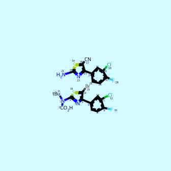 CC(C)(C)N(C(=O)O)c1nc(-c2ccc(F)c(Cl)c2)c(Br)s1.N#Cc1sc(N)nc1-c1ccc(F)c(Cl)c1